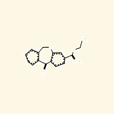 C=C(OCC)c1ccc2c(c1)SCc1ccccc1C2=O